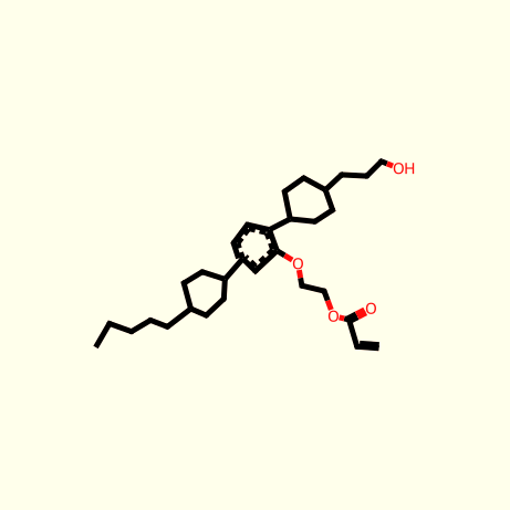 C=CC(=O)OCCOc1cc(C2CCC(CCCCC)CC2)ccc1C1CCC(CCCO)CC1